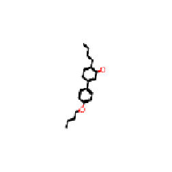 CCCCOc1ccc(C2=CC(=O)C(CCCC)CC2)cc1